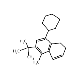 Cc1c(C(C)(C)C)cc(C2CCCCC2)c2c1C=CCC2